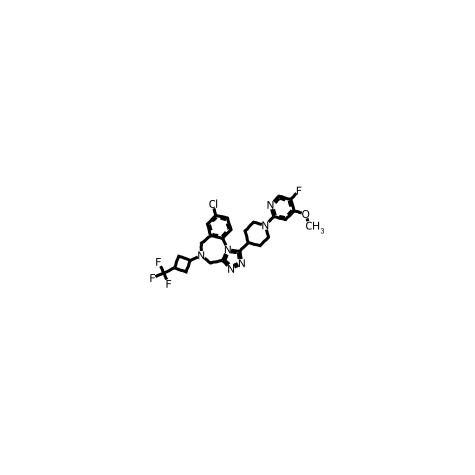 COc1cc(N2CCC(c3nnc4n3-c3ccc(Cl)cc3CN(C3CC(C(F)(F)F)C3)C4)CC2)ncc1F